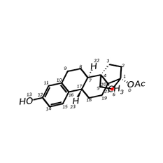 CC(=O)O[C@]12CC[C@]3(CC1)[C@@H]1CCc4cc(O)ccc4[C@H]1CC[C@]23C